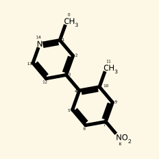 Cc1cc(-c2ccc([N+](=O)[O-])cc2C)ccn1